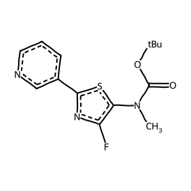 CN(C(=O)OC(C)(C)C)c1sc(-c2cccnc2)nc1F